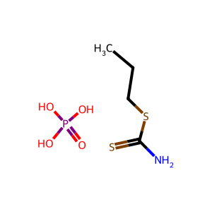 CCCSC(N)=S.O=P(O)(O)O